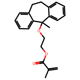 C=C(C)C(=O)OCCOC1(C)c2ccccc2CCc2ccccc21